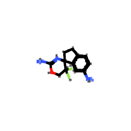 NC1=NC2(CCc3ccc(N)cc32)C(F)(F)CO1